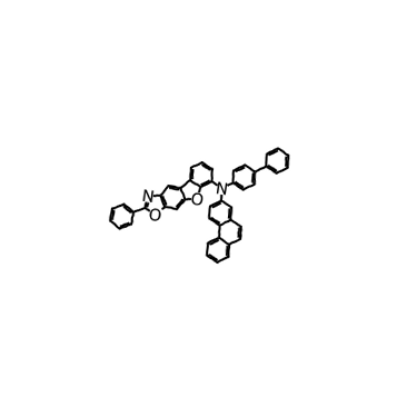 c1ccc(-c2ccc(N(c3ccc4c(ccc5ccccc54)c3)c3cccc4c3oc3cc5oc(-c6ccccc6)nc5cc34)cc2)cc1